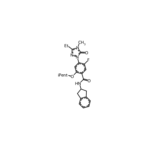 CCC[C@H](C)Oc1cc(-n2nc(CC)n(C)c2=O)c(F)cc1C(=O)NC1Cc2ccccc2C1